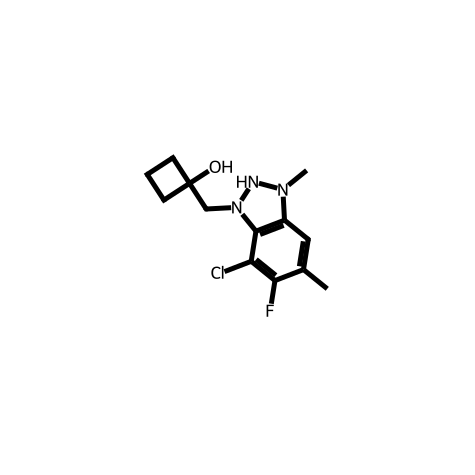 Cc1cc2c(c(Cl)c1F)N(CC1(O)CCC1)NN2C